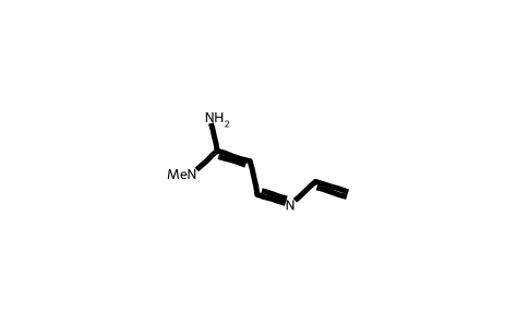 C=C/N=C\C=C(\N)NC